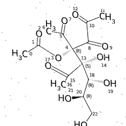 CC(=O)O[C@](C(C)=O)(C(=O)C(C)=O)[C@](O)(C(C)=O)[C@H](O)[C@H](O)CO